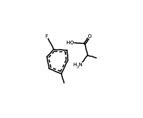 CC(N)C(=O)O.Cc1ccc(F)cc1